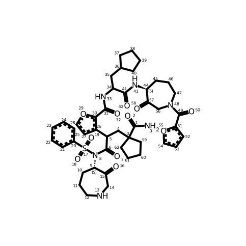 NC(=O)C1(CC(C(=O)N([C@H]2CCCNCC2=O)S(=O)(=O)c2ccccc2)c2ccoc2C(=O)NC(CC2CCCC2)C(=O)N[C@H]2CCCN(C(=O)c3ccco3)CC2=O)CCCC1